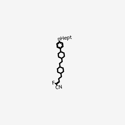 CCCCCCCc1ccc(C2CCC(CCC3CCC(CCC=C(F)C#N)CC3)CC2)cc1